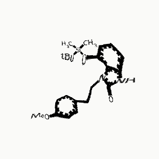 COc1ccc(CCn2c(=O)[nH]c3cccc(O[Si](C)(C)C(C)(C)C)c32)cc1